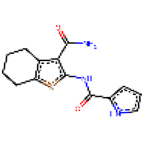 NC(=O)c1c(NC(=O)c2ccc[nH]2)sc2c1CCCC2